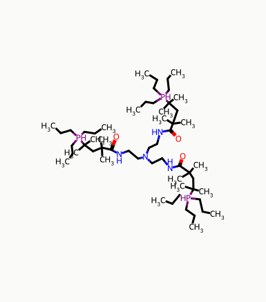 CCC[PH](CCC)(CCC)C(C)(C)CC(C)(C)C(=O)NCCN(CCNC(=O)C(C)(C)CC(C)(C)[PH](CCC)(CCC)CCC)CCNC(=O)C(C)(C)CC(C)(C)[PH](CCC)(CCC)CCC